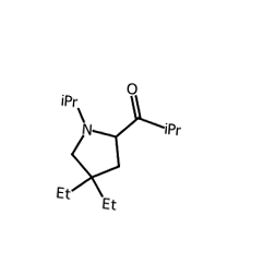 CCC1(CC)CC(C(=O)C(C)C)N(C(C)C)C1